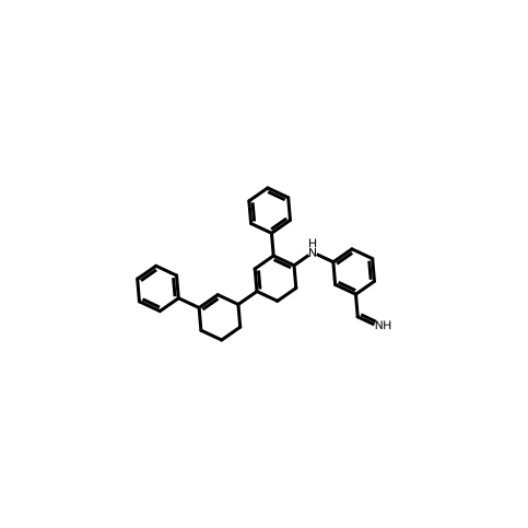 N=Cc1cccc(NC2=C(c3ccccc3)C=C(C3C=C(c4ccccc4)CCC3)CC2)c1